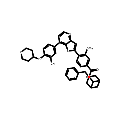 COc1cc(C(=O)NC2C3CC2CN(Cc2ccccc2)C3)ccc1-c1cc2nccc(-c3ccc(OC4CCOCC4)c(C#N)c3)c2o1